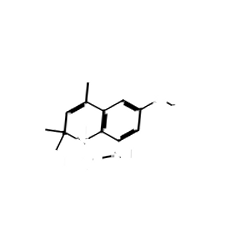 CCOc1ccc2c(c1)C(C)=CC(C)(C)N2.NC(=O)O